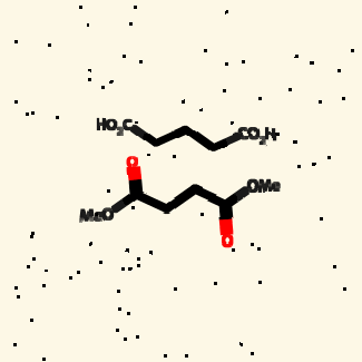 COC(=O)CCC(=O)OC.O=C(O)CCCC(=O)O